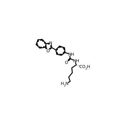 NCCCC[C@H](NC(=O)Nc1ccc(-c2nc3ccccc3o2)cc1)C(=O)O